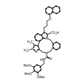 COc1cc(CNC(=O)N2Cc3ccccc3Cn3c(C(=O)O)c(CCCOc4cccc5ccccc45)c4cccc(c43)-c3c(nn(C)c3C)C2)cc(OC)c1OC